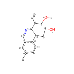 C=CC(COC)C1N=Cc2cc(C)ccc2C1CCO